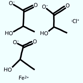 CC(O)C(=O)[O-].CC(O)C(=O)[O-].CC(O)C(=O)[O-].[Cl+].[Fe+2]